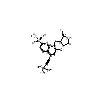 CC(C)[Si](C#Cc1cc(=O)n(CC2CCNC2=O)c2nc(S(C)(=O)=O)ncc12)(C(C)C)C(C)C